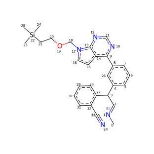 C/N=C/C(c1cccc(-c2ncnc3c2ccn3COCC[Si](C)(C)C)c1)c1ccccc1C#N